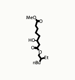 CCCCC(CC)COC(=O)C[C@@H](O)CCCCC(=O)OC